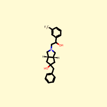 OC(CN1C[C@@H]2CC(O)(Cc3ccccc3)C[C@@H]2C1)c1cccc(C(F)(F)F)c1